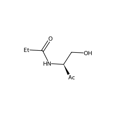 CCC(=O)N[C@@H](CO)C(C)=O